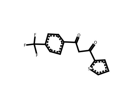 O=C(CC(=O)c1cccs1)c1ccc(C(F)(F)F)cc1